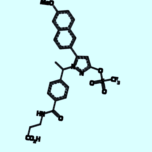 COc1ccc2cc(-c3cc(OS(=O)(=O)C(F)(F)F)nn3C(C)c3ccc(C(=O)NCCC(=O)O)cc3)ccc2c1